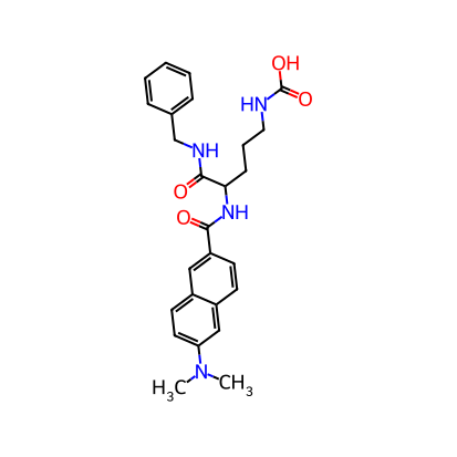 CN(C)c1ccc2cc(C(=O)NC(CCCNC(=O)O)C(=O)NCc3ccccc3)ccc2c1